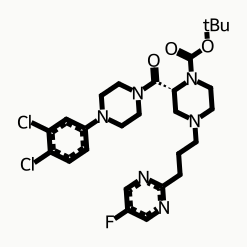 CC(C)(C)OC(=O)N1CCN(CCCc2ncc(F)cn2)C[C@@H]1C(=O)N1CCN(c2ccc(Cl)c(Cl)c2)CC1